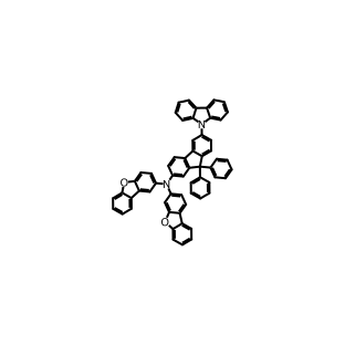 c1ccc(C2(c3ccccc3)c3ccc(-n4c5ccccc5c5ccccc54)cc3-c3ccc(N(c4ccc5c(c4)oc4ccccc45)c4ccc5oc6ccccc6c5c4)cc32)cc1